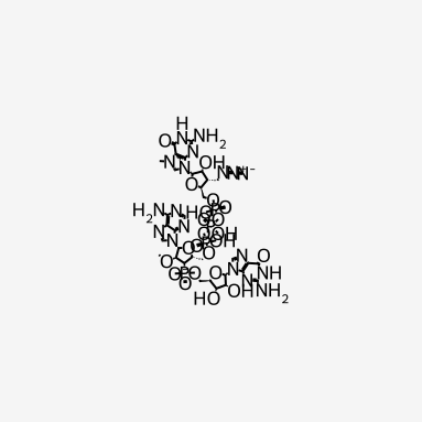 CO[C@@H]1[C@H](P(=O)([O-])OC[C@H]2O[C@@H](n3cnc4c(=O)[nH]c(N)nc43)[C@H](O)[C@@H]2O)[C@@H](COP(=O)(O)OP(=O)(O)OP(=O)(O)OC[C@H]2O[C@@H](n3c[n+](C)c4c(=O)[nH]c(N)nc43)[C@H](O)[C@@H]2CN=[N+]=[N-])O[C@H]1n1cnc2c(N)ncnc21